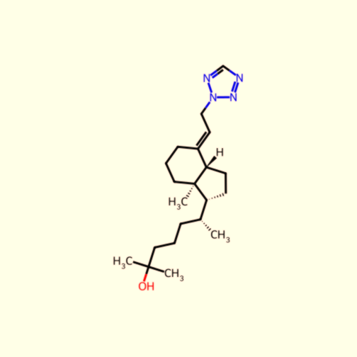 C[C@H](CCCC(C)(C)O)[C@H]1CC[C@H]2/C(=C/Cn3ncnn3)CCC[C@]12C